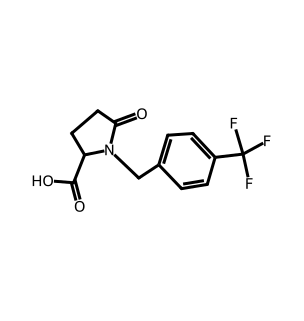 O=C(O)C1CCC(=O)N1Cc1ccc(C(F)(F)F)cc1